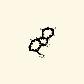 CCc1cccc2c1sc1ccccc12